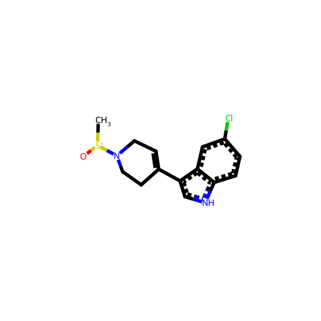 C[S+]([O-])N1CC=C(c2c[nH]c3ccc(Cl)cc23)CC1